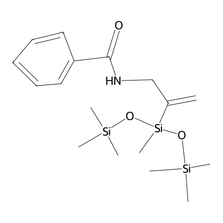 C=C(CNC(=O)c1ccccc1)[Si](C)(O[Si](C)(C)C)O[Si](C)(C)C